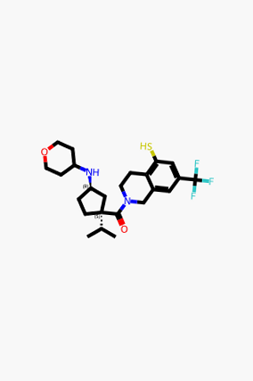 CC(C)[C@]1(C(=O)N2CCc3c(S)cc(C(F)(F)F)cc3C2)CC[C@@H](NC2CCOCC2)C1